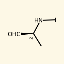 C[C@@H](C=O)NI